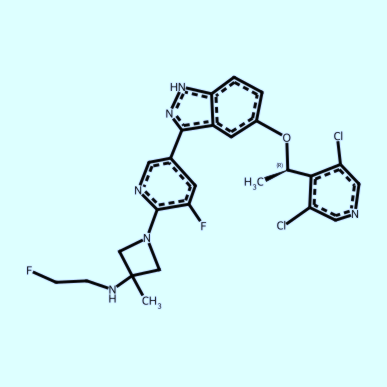 C[C@@H](Oc1ccc2[nH]nc(-c3cnc(N4CC(C)(NCCF)C4)c(F)c3)c2c1)c1c(Cl)cncc1Cl